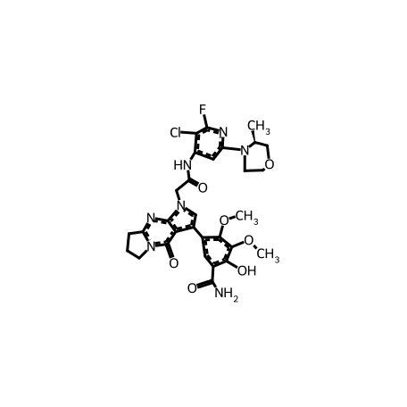 COc1c(-c2cn(CC(=O)Nc3cc(N4CCOC[C@@H]4C)nc(F)c3Cl)c3nc4n(c(=O)c23)CCC4)cc(C(N)=O)c(O)c1OC